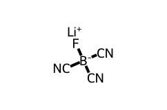 N#C[B-](F)(C#N)C#N.[Li+]